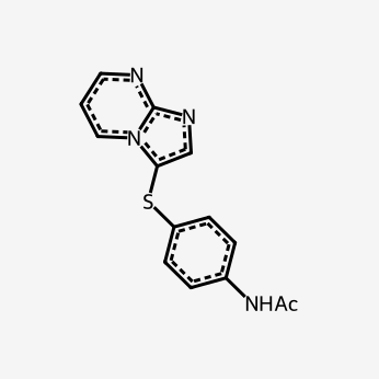 CC(=O)Nc1ccc(Sc2cnc3ncccn23)cc1